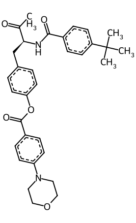 CC(=O)[C@H](Cc1ccc(OC(=O)c2ccc(N3CCOCC3)cc2)cc1)NC(=O)c1ccc(C(C)(C)C)cc1